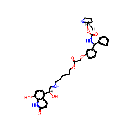 O=C(COc1cccc(C(NC(=O)O[C@H]2CN3CCC2CC3)c2ccccc2)c1)OCCCCCNC[C@@H](O)c1ccc(O)c2[nH]c(=O)ccc12